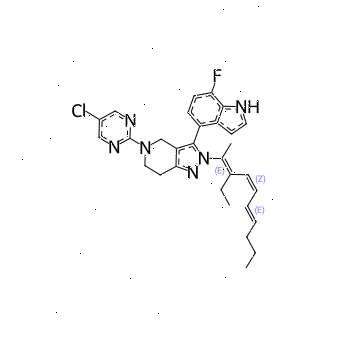 CCC/C=C/C=C\C(CC)=C(/C)n1nc2c(c1-c1ccc(F)c3[nH]ccc13)CN(c1ncc(Cl)cn1)CC2